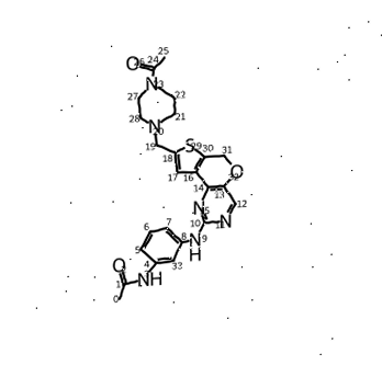 CC(=O)Nc1cccc(Nc2ncc3c(n2)-c2cc(CN4CCN(C(C)=O)CC4)sc2CO3)c1